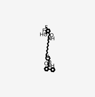 O=C(Nc1ccccc1-c1ccccc1)OC1CCN(CCCCCCCCCNCC(=O)c2ccc(F)c(F)c2O)CC1